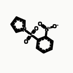 O=[N+]([O-])c1ccccc1S(=O)(=O)n1cccc1